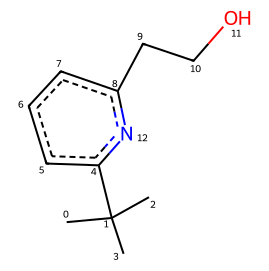 CC(C)(C)c1cccc(CCO)n1